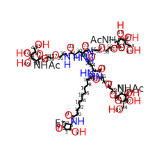 CCO[C@@H]1C[C@@H](O)[C@H](NC(=O)CCCCCCCCCCC(=O)NC(CCC(=O)NC(CCC(=O)NCCOCCOC2OC(CO)C(O)C(O)C2NC(C)=O)C(=O)NCCOCCOC2OC(CO)C(O)C(O)C2NC(C)=O)C(=O)NCCOCCOC2O[C@H](CO)C(O)C(O)C2NC(C)=O)C1